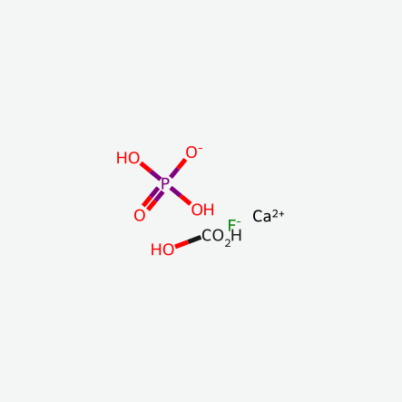 O=C(O)O.O=P([O-])(O)O.[Ca+2].[F-]